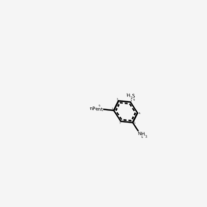 CCCCCc1cccc(N)c1.S